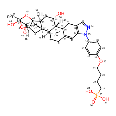 CCCC1O[C@@H]2C[C@H]3[C@@H]4CCC5=Cc6c(cnn6-c6ccc(OCCCCP(=O)(O)O)cc6)C[C@]5(C)[C@H]4[C@@H](O)C[C@]3(C)[C@]2(C(=O)CO)O1